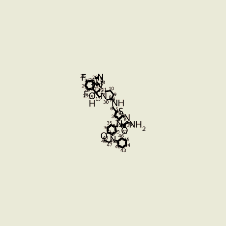 Nc1nc2sc(CN[C@@H]3CCCN(CC(O)(Cn4cncn4)c4ccc(F)cc4F)C3)cc2n(-c2ccc3c(c2)N(c2ccccc2)CCO3)c1=O